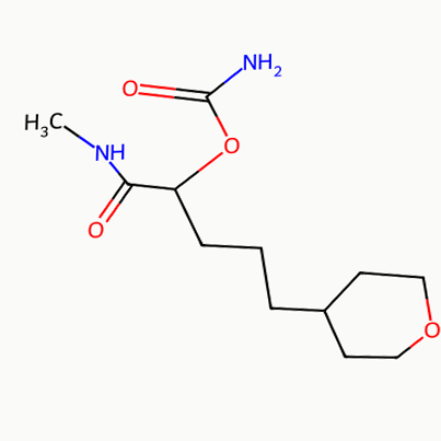 CNC(=O)C(CCCC1CCOCC1)OC(N)=O